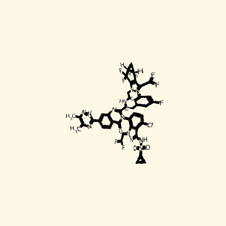 Cc1nnc(-c2ccc3c(=O)n(-c4ccc(Cl)c5c(NS(=O)(=O)C6CC6)nn(CC(F)F)c45)c([C@H](Cc4cc(F)cc(F)c4)NC(=O)Cn4nc(C(F)F)c5c4C(F)(F)[C@@H]4C[C@H]54)nc3c2)nc1C